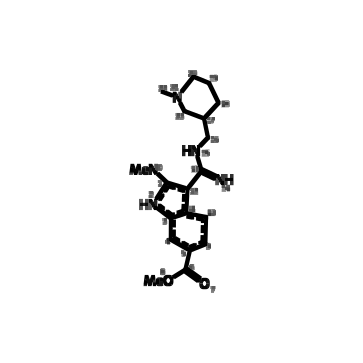 CNc1[nH]c2cc(C(=O)OC)ccc2c1C(=N)NCC1CCCN(C)C1